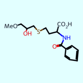 COCC(O)CSCCC(NC(=O)c1ccccc1)C(=O)O